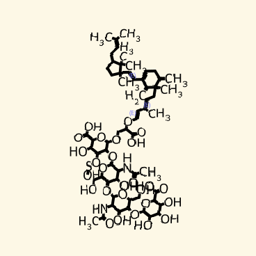 C=C1C(/C=C/C2(C)CCC(CC=C(C)C)C2(C)C)=CCC(C)C1(C)C/C=C(C)/C=C/OC(COC1OC(C(=O)O)C(O)C(OSO)C1OC1OC(CO)C(OC2OC(CO)C(OC3OC(C(=O)O)C(O)C(O)C3O)C(O)C2NC(C)=O)C(O)C1NC(C)=O)C(=O)O